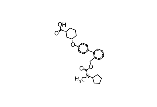 CN(C(=O)OCc1ccccc1-c1ccc(O[C@H]2CCC[C@H](C(=O)O)C2)cc1)C1CCCC1